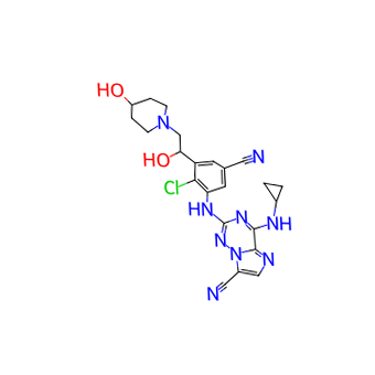 N#Cc1cc(Nc2nc(NC3CC3)c3ncc(C#N)n3n2)c(Cl)c(C(O)CN2CCC(O)CC2)c1